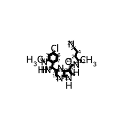 CNc1cc(Cl)ccc1C(=N)c1cnc2[nH]cc(C(=O)N[C@H](C)CCC#N)c2n1